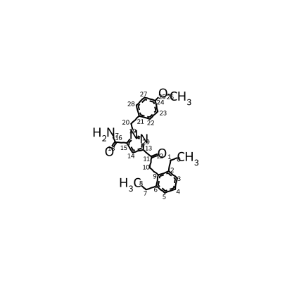 CCc1cccc(CC)c1CC(=O)c1cc(C(N)=O)n(Cc2ccc(OC)cc2)n1